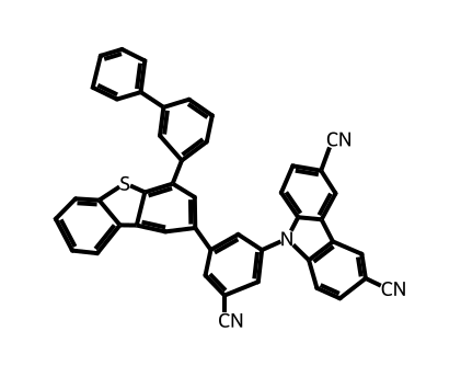 N#Cc1cc(-c2cc(-c3cccc(-c4ccccc4)c3)c3sc4ccccc4c3c2)cc(-n2c3ccc(C#N)cc3c3cc(C#N)ccc32)c1